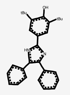 CC(C)(C)c1cc(-c2nc(-c3ccccc3)c(-c3ccccc3)[nH]2)cc(C(C)(C)C)c1O